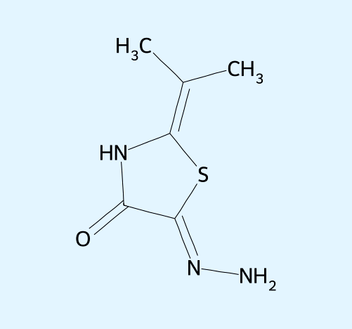 CC(C)=C1NC(=O)C(=NN)S1